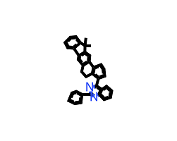 CC1(C)c2ccccc2-c2cc3c(cc21)-c1cccc(-c2nc(-c4ccccc4)nc4ccccc24)c1CC3